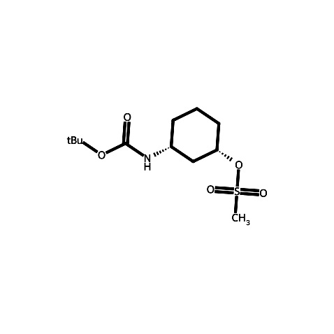 CC(C)(C)OC(=O)N[C@@H]1CCC[C@H](OS(C)(=O)=O)C1